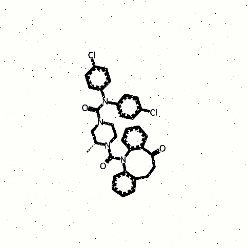 C[C@@H]1CN(C(=O)N(c2ccc(Cl)cc2)c2ccc(Cl)cc2)CCN1C(=O)N1c2ccccc2CCC(=O)c2ccccc21